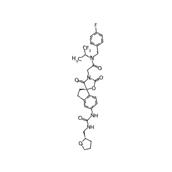 CC(N(Cc1ccc(F)cc1)C(=O)CN1C(=O)O[C@@]2(CCc3cc(NC(=O)NC[C@H]4CCCO4)ccc32)C1=O)C(F)(F)F